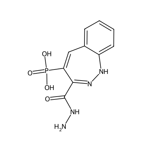 NNC(=O)C1=NNc2ccccc2C=C1P(=O)(O)O